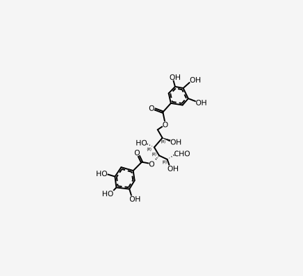 O=C[C@H](O)[C@H](OC(=O)c1cc(O)c(O)c(O)c1)[C@H](O)[C@H](O)COC(=O)c1cc(O)c(O)c(O)c1